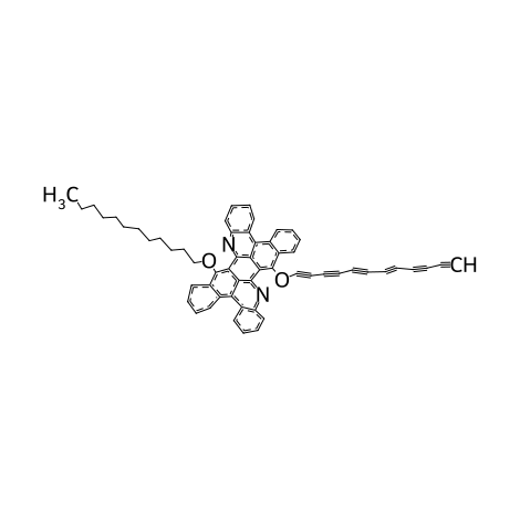 C#CC#CC#CC#CC#CC#COc1c2ccccc2c2c3ccccc3nc3c4c(OCCCCCCCCCCCC)c5ccccc5c5c6ccccc6nc(c1c32)c45